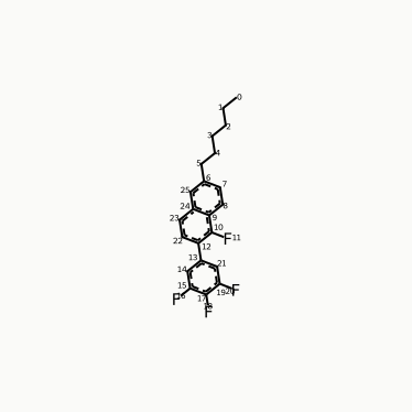 CCCCCCc1ccc2c(F)c(-c3cc(F)c(F)c(F)c3)ccc2c1